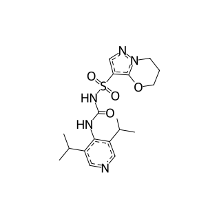 CC(C)c1cncc(C(C)C)c1NC(=O)NS(=O)(=O)c1cnn2c1OCCC2